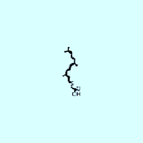 CC(C)=CCCC(C)=CCCC(C)=CCSCC(=O)O